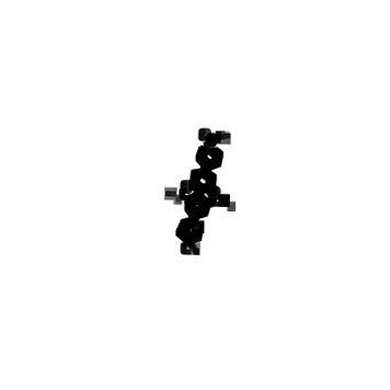 CCC(=O)N1CCC(C2CC(=O)C(c3c(C)cc(-c4ccc(C#N)cn4)cc3C)C(=O)C2)CC1